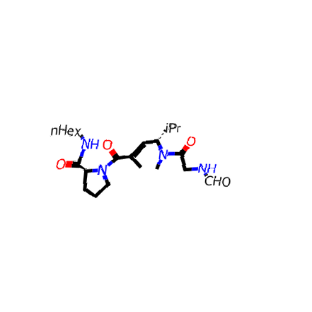 CCCCCCNC(=O)[C@@H]1CCCN1C(=O)/C(C)=C/[C@H](C(C)C)N(C)C(=O)CNC=O